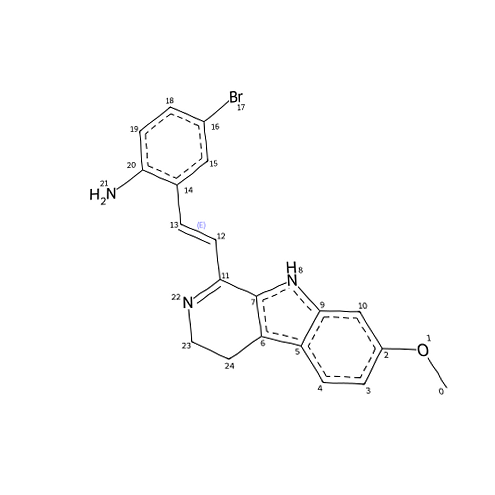 COc1ccc2c3c([nH]c2c1)C(/C=C/c1cc(Br)ccc1N)=NCC3